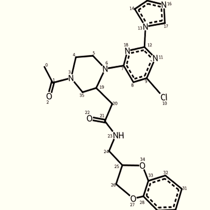 CC(=O)N1CCN(c2cc(Cl)nc(-n3ccnc3)n2)C(CC(=O)NCC2COc3ccccc3O2)C1